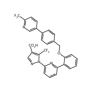 O=C(O)c1cnn(-c2cccc(-c3ccccc3OCc3ccc(-c4ccc(C(F)(F)F)nc4)cc3)n2)c1C(F)(F)F